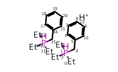 CC[PH](CC)(CC)Cc1ccccc1.CC[PH](CC)(CC)Cc1ccccc1.[H+]